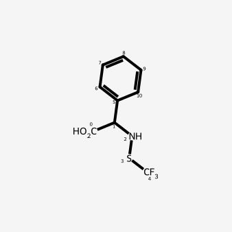 O=C(O)C(NSC(F)(F)F)c1ccccc1